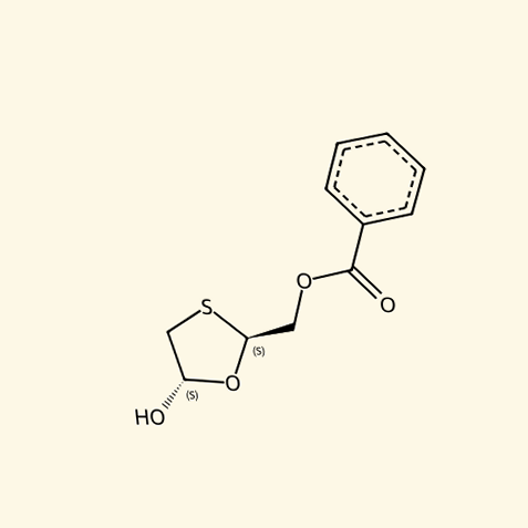 O=C(OC[C@H]1O[C@H](O)CS1)c1ccccc1